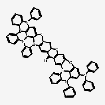 O=c1c2cc3c(cc2oc2cc4c(cc12)B1c2ccccc2N2c5ccccc5B5c6ccccc6N(c6ccccc6)c6cc(c1c2c65)O4)Oc1cc(N(c2ccccc2)c2ccccc2)cc2c1B3c1ccccc1N2c1ccccc1